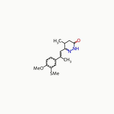 COc1ccc(C(C)=CC2=NNC(=O)CC2C)cc1SC